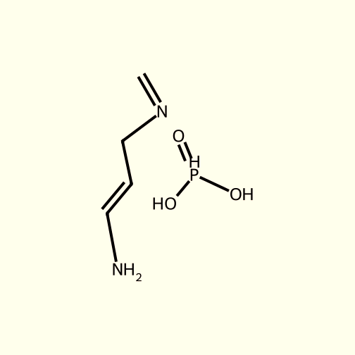 C=NCC=CN.O=[PH](O)O